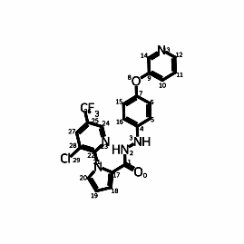 O=C(NNc1ccc(Oc2cccnc2)cc1)c1cccn1-c1ncc(C(F)(F)F)cc1Cl